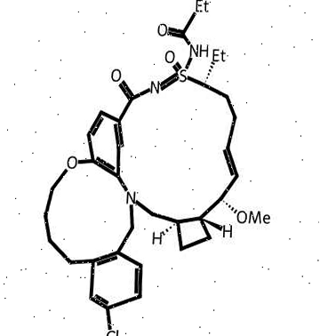 CCC(=O)NS1(=O)=NC(=O)c2ccc3c(c2)N(Cc2ccc(Cl)cc2CCCCO3)C[C@@H]2CC[C@H]2[C@@H](OC)/C=C/CC[C@H]1CC